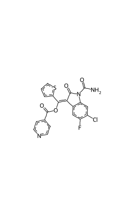 NC(=O)N1C(=O)C(=C(OC(=O)c2ccncc2)c2cccs2)c2cc(F)c(Cl)cc21